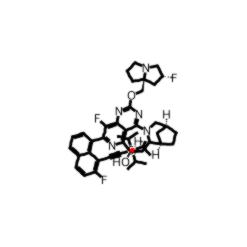 CC(C)[Si](C#Cc1c(F)ccc2cccc(-c3nc4c5c(nc(OC[C@@]67CCCN6C[C@H](F)C7)nc5c3F)N3C[C@H]5CC[C@H](C5)[C@H]3C[C@H]4O)c12)(C(C)C)C(C)C